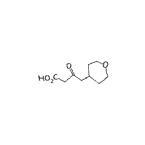 O=C(O)CC(=O)CC1CCOCC1